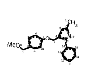 COCc1ccc(OCc2cc(C)nn2-c2ccccc2)cc1